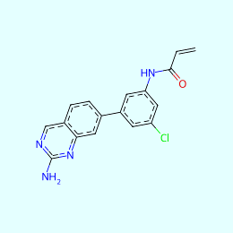 C=CC(=O)Nc1cc(Cl)cc(-c2ccc3cnc(N)nc3c2)c1